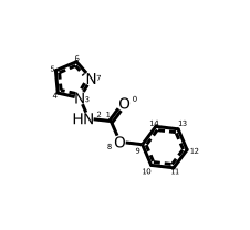 O=C(Nn1cccn1)Oc1ccccc1